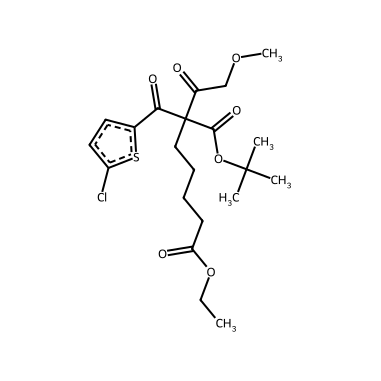 CCOC(=O)CCCCC(C(=O)COC)(C(=O)OC(C)(C)C)C(=O)c1ccc(Cl)s1